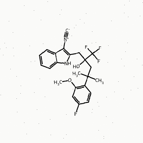 [C-]#[N+]c1c(CC(O)(CC(C)(C)c2ccc(F)cc2OC)C(F)(F)F)[nH]c2ccccc12